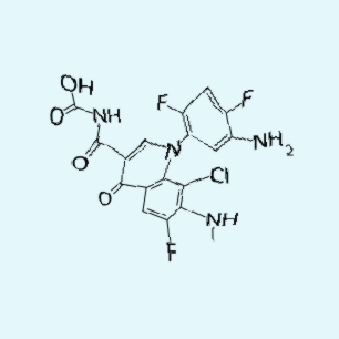 CNc1c(F)cc2c(=O)c(C(=O)NC(=O)O)cn(-c3cc(N)c(F)cc3F)c2c1Cl